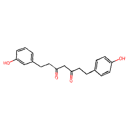 O=C(CCc1ccc(O)cc1)CC(=O)CCc1cccc(O)c1